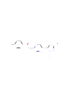 CCn1nc(C(F)(F)F)cc1-c1cnc(NC(=O)c2c(F)cc(C)cc2F)cn1